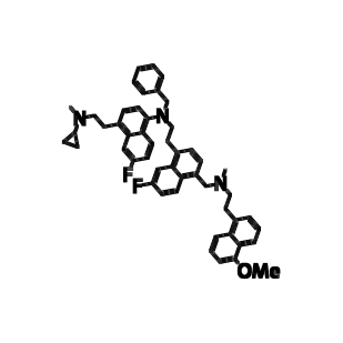 COc1cccc2c(CCN(C)Cc3ccc(CCN(Cc4ccccc4)c4ccc(CCN(C)C5CC5)c5cc(F)ccc45)c4cc(F)ccc34)cccc12